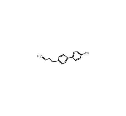 C=CCCc1ccc(-c2ccc(C#N)cc2)cc1